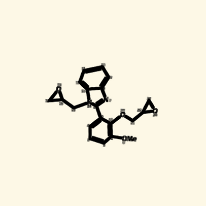 COc1cccc(-c2nc3ccccc3n2CC2CO2)c1OCC1CO1